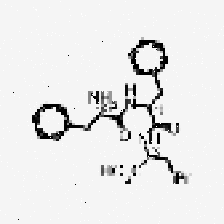 CC(C)C[C@H](NC(=O)[C@H](Cc1ccccc1)NC(=O)[C@@H](N)Cc1ccccc1)C(=O)O